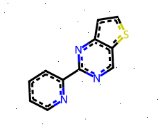 [c]1nc(-c2ccccn2)nc2ccsc12